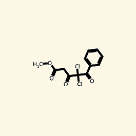 COC(=O)CC(=O)C(Cl)(Cl)C(=O)c1ccccc1